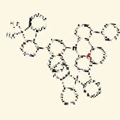 CC1(C)c2ccccc2-c2c(-c3ncc(N(c4ccc5c(c4)C4(c6ccccc6-c6ccccc64)c4ccccc4-5)c4cccc(-c5ccccc5)c4-c4ccccc4)c4ccccc34)cccc21